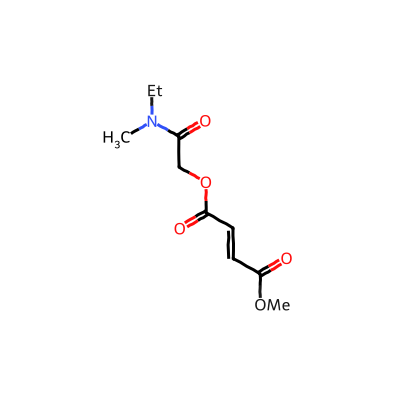 CCN(C)C(=O)COC(=O)/C=C/C(=O)OC